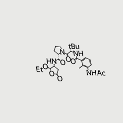 CCO[C@@H]1OC(=O)C[C@@H]1NC(=O)[C@@H]1CCCN1C(=O)[C@@H](NC(=O)c1cccc(NC(C)=O)c1C)C(C)(C)C